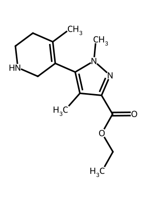 CCOC(=O)c1nn(C)c(C2=C(C)CCNC2)c1C